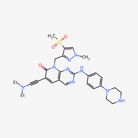 CCN(C#Cc1cc2cnc(Nc3ccc(N4CCNCC4)cc3)nc2n(Cc2nn(C)cc2S(C)(=O)=O)c1=O)CC